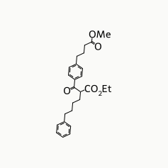 CCOC(=O)C(CCCCc1ccccc1)C(=O)c1ccc(CCCC(=O)OC)cc1